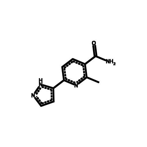 Cc1nc(-c2ccn[nH]2)ccc1C(N)=O